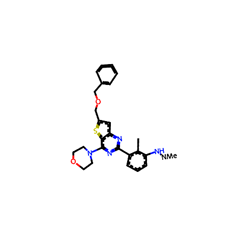 CNNc1cccc(-c2nc(N3CCOCC3)c3sc(COCC4=CC=C=C=C4)cc3n2)c1C